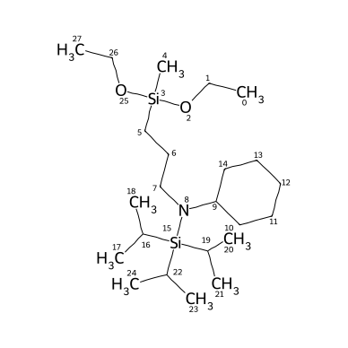 CCO[Si](C)(CCCN(C1CCCCC1)[Si](C(C)C)(C(C)C)C(C)C)OCC